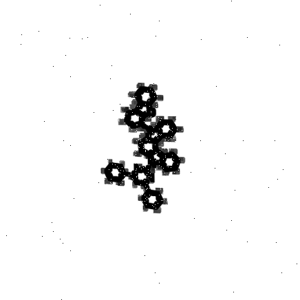 c1ccc(-c2cc(-c3ccccc3)nc(-n3c4ccccc4c4c5c6ccccc6n(-c6cccc7c6oc6ccccc67)c5ccc43)n2)cc1